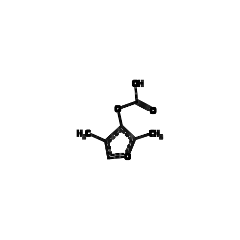 Cc1coc(C)c1OC(=O)O